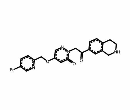 O=C(Cn1ncc(OCc2ccc(Br)cn2)cc1=O)c1ccc2c(c1)CNCC2